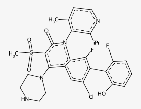 Cc1ccnc(C(C)C)c1-n1c(=O)c(S(C)(=O)=O)c(N2CCNCC2)c2cc(Cl)c(-c3c(O)cccc3F)c(F)c21